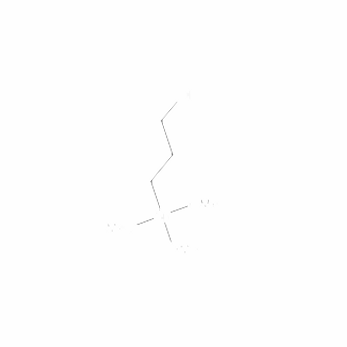 C[O][Sn]([CH2]CCO)([O]C)[O]C